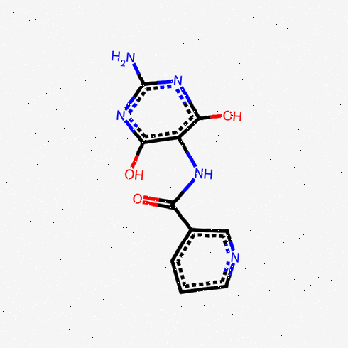 Nc1nc(O)c(NC(=O)c2cccnc2)c(O)n1